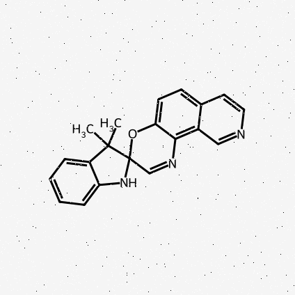 CC1(C)c2ccccc2NC12C=Nc1c(ccc3ccncc13)O2